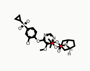 COc1c(Oc2ccc(S(=O)(=O)C3CC3)cc2Cl)ncnc1O[C@H]1CC2CC[C@@H](C1)N2C(=O)OC(C)C